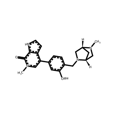 COc1cc(-c2cn(C)c(=O)c3[nH]ccc23)ccc1CN1C[C@H]2C[C@@H]1CN2C